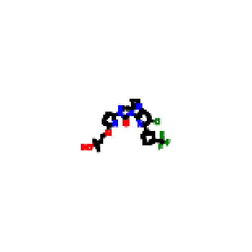 CC(C)(O)CCOc1cccc(NC(=O)N2c3nc(-c4cccc(C(F)(F)F)c4)c(Cl)cc3N3CC[C@@H]32)n1